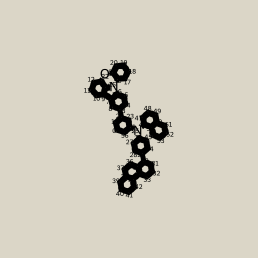 c1cc(-c2ccc3c(c2)c2cccc4c2n3-c2ccccc2O4)cc(N(c2ccc(-c3cccc4c3ccc3ccccc34)cc2)c2cccc3ccccc23)c1